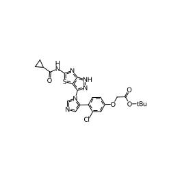 CC(C)(C)OC(=O)COc1ccc(-c2cncn2-c2n[nH]c3nc(NC(=O)C4CC4)sc23)c(Cl)c1